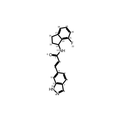 O=C(/C=C/c1ccc2cn[nH]c2c1)NC1CCc2cccc(F)c21